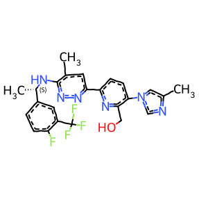 Cc1cn(-c2ccc(-c3cc(C)c(N[C@@H](C)c4ccc(F)c(C(F)(F)F)c4)nn3)nc2CO)cn1